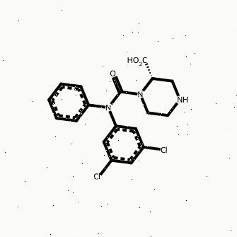 O=C(O)[C@@H]1CNCCN1C(=O)N(c1ccccc1)c1cc(Cl)cc(Cl)c1